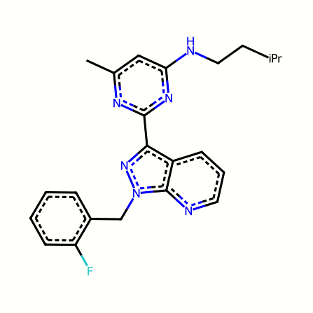 Cc1cc(NCCC(C)C)nc(-c2nn(Cc3ccccc3F)c3ncccc23)n1